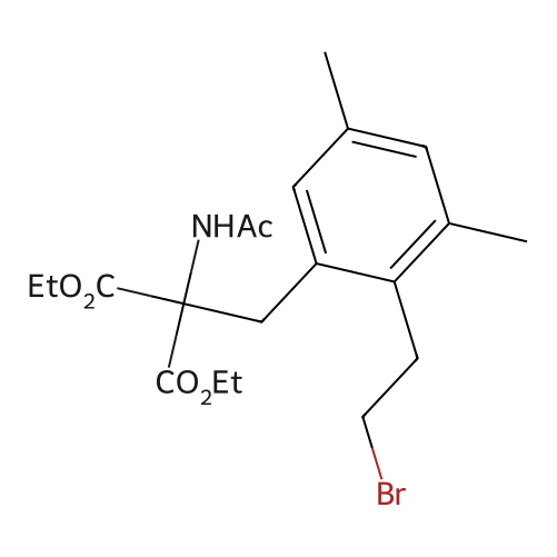 CCOC(=O)C(Cc1cc(C)cc(C)c1CCBr)(NC(C)=O)C(=O)OCC